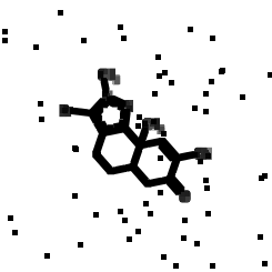 Cn1nc2c(c1Br)CCC1CC(=O)C(C#N)=CC21C